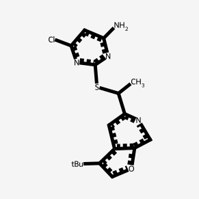 CC(Sc1nc(N)cc(Cl)n1)c1cc2c(C(C)(C)C)coc2cn1